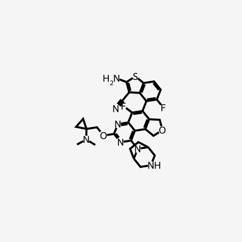 CN(C)C1(COc2nc(N3C4CCC3CNC4)c3c4c(c(-c5c(F)ccc6sc(N)c(C#N)c56)c(F)c3n2)COC4)CC1